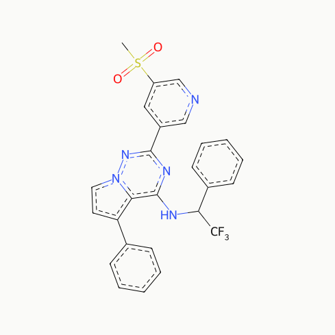 CS(=O)(=O)c1cncc(-c2nc(NC(c3ccccc3)C(F)(F)F)c3c(-c4ccccc4)ccn3n2)c1